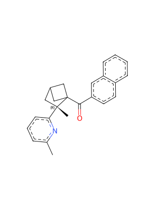 Cc1cccc([C@]2(C)CC3CC2(C(=O)c2ccc4ccccc4c2)C3)n1